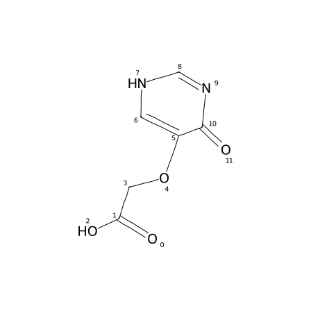 O=C(O)COc1c[nH]cnc1=O